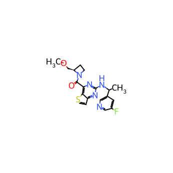 COC[C@H]1CCN1C(=O)c1nc(NC(C)c2cncc(F)c2)nc2ccsc12